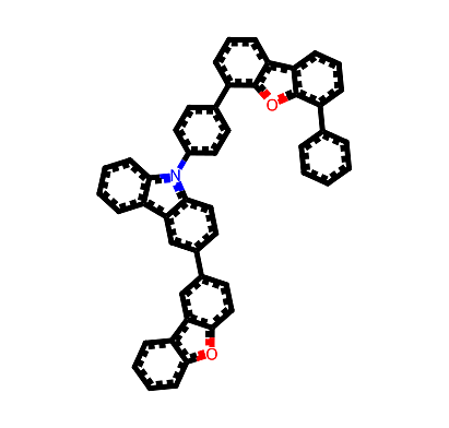 c1ccc(-c2cccc3c2oc2c(-c4ccc(-n5c6ccccc6c6cc(-c7ccc8oc9ccccc9c8c7)ccc65)cc4)cccc23)cc1